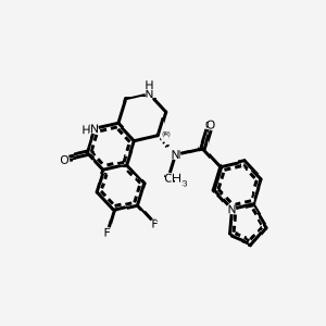 CN(C(=O)c1ccc2cccn2c1)[C@H]1CNCc2[nH]c(=O)c3cc(F)c(F)cc3c21